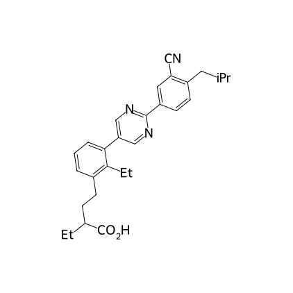 CCc1c(CCC(CC)C(=O)O)cccc1-c1cnc(-c2ccc(CC(C)C)c(C#N)c2)nc1